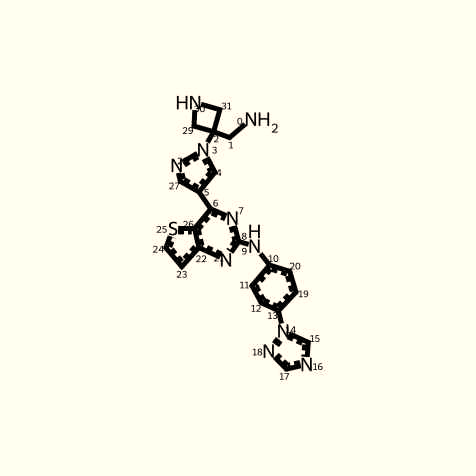 NCC1(n2cc(-c3nc(Nc4ccc(-n5cncn5)cc4)nc4ccsc34)cn2)CNC1